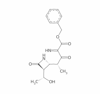 C[C@@H](O)[C@H]1C(=O)N[C@@H]1[C@@H](C)C(=O)C(=N)C(=O)OCc1ccccc1